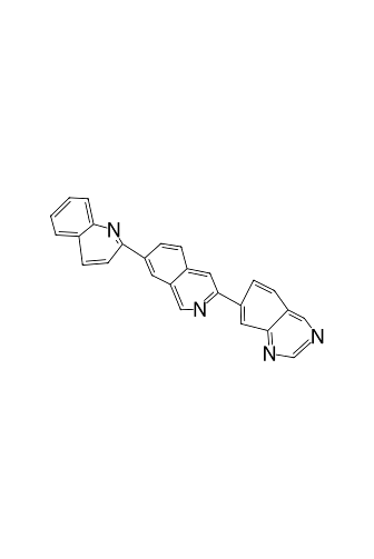 c1ccc2nc(-c3ccc4cc(-c5ccc6cncnc6c5)ncc4c3)ccc2c1